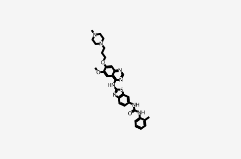 COc1cc2c(Nc3nc4ccc(NC(=O)Nc5ccccc5C)cc4s3)ncnc2cc1OCCCN1CCN(C)CC1